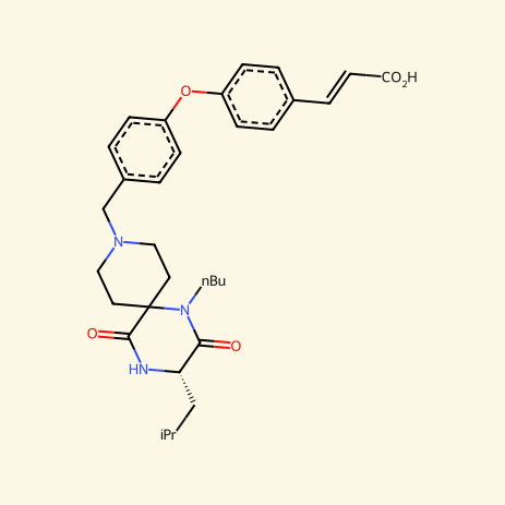 CCCCN1C(=O)[C@H](CC(C)C)NC(=O)C12CCN(Cc1ccc(Oc3ccc(/C=C/C(=O)O)cc3)cc1)CC2